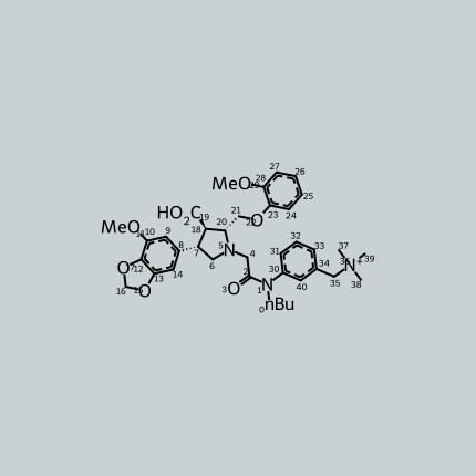 CCCCN(C(=O)CN1C[C@H](c2cc(OC)c3c(c2)OCO3)[C@@H](C(=O)O)[C@@H]1COc1ccccc1OC)c1cccc(C[N+](C)(C)C)c1